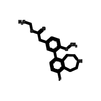 CCOC(=O)Cc1ccc(OC)c(-c2ccc(F)c3c2CCNCC3)c1